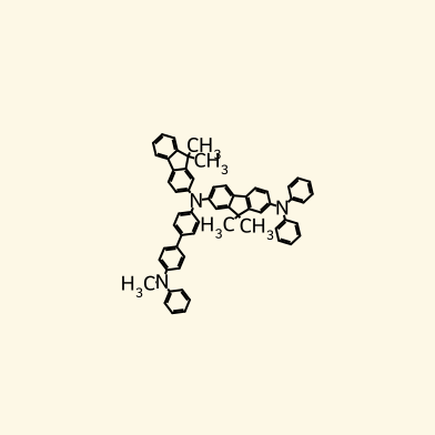 CN(c1ccccc1)c1ccc(-c2ccc(N(c3ccc4c(c3)C(C)(C)c3ccccc3-4)c3ccc4c(c3)C(C)(C)c3cc(N(c5ccccc5)c5ccccc5)ccc3-4)cc2)cc1